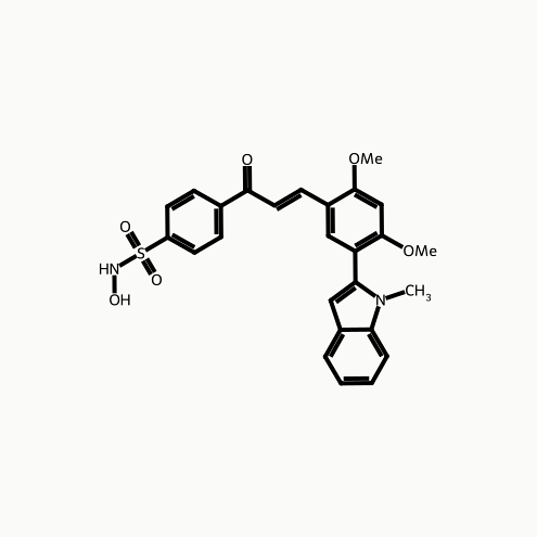 COc1cc(OC)c(-c2cc3ccccc3n2C)cc1C=CC(=O)c1ccc(S(=O)(=O)NO)cc1